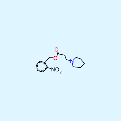 O=C(CCN1CCCCC1)OCc1ccccc1[N+](=O)[O-]